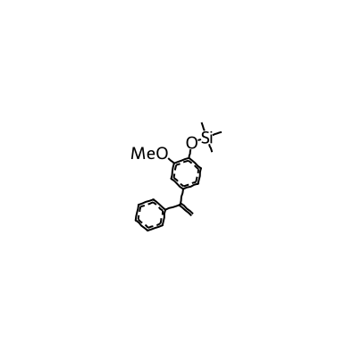 C=C(c1ccccc1)c1ccc(O[Si](C)(C)C)c(OC)c1